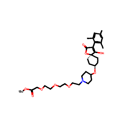 Cc1cc(C)c(C2=C(O)[C@]3(CC[C@H](OC4CCN(CCOCCOCCOCC(=O)OC(C)(C)C)CC4)CC3)OC2=O)c(C)c1